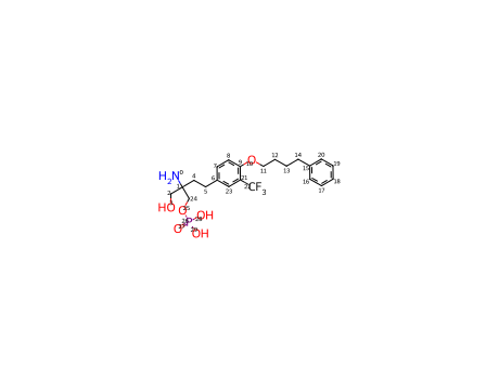 NC(CO)(CCc1ccc(OCCCCc2ccccc2)c(C(F)(F)F)c1)COP(=O)(O)O